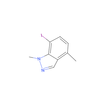 Cc1ccc(I)c2c1cnn2C